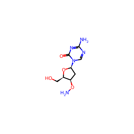 NO[C@@H]1C[C@H](n2cnc(N)nc2=O)O[C@@H]1CO